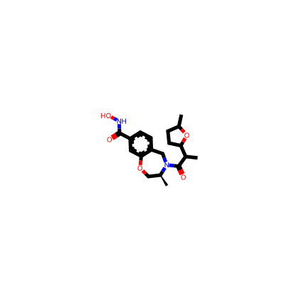 CC1CCC(C(C)C(=O)N2Cc3ccc(C(=O)NO)cc3OC[C@@H]2C)O1